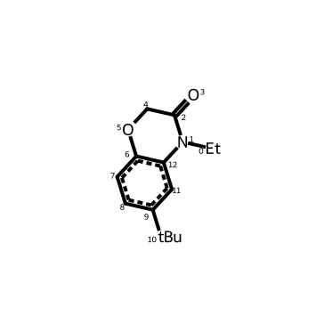 CCN1C(=O)COc2ccc(C(C)(C)C)cc21